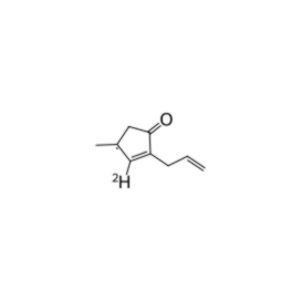 [2H]C1=C(CC=C)C(=O)C[C]1C